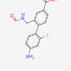 Nc1ccc(-c2ccc(C(=O)O)cc2CNC=O)c(F)c1